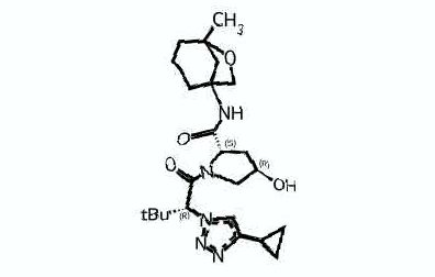 CC12CCCC(NC(=O)[C@@H]3C[C@@H](O)CN3C(=O)[C@H](n3cc(C4CC4)nn3)C(C)(C)C)(CO1)C2